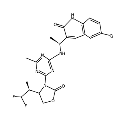 Cc1nc(N[C@@H](C)c2cc3cc(Cl)ccc3[nH]c2=O)nc(N2C(=O)OCC2[C@H](C)C(F)F)n1